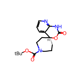 CC(C)(C)OC(=O)N1CCC[C@@]2(CC1)OC(=O)Nc1ncccc12